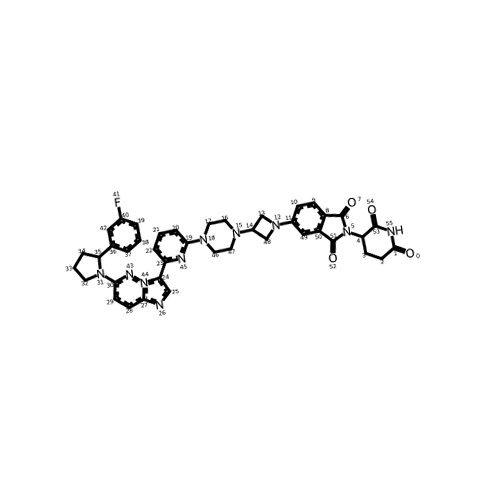 O=C1CCC(N2C(=O)c3ccc(N4CC(N5CCN(c6cccc(-c7cnc8ccc(N9CCCC9c9cccc(F)c9)nn78)n6)CC5)C4)cc3C2=O)C(=O)N1